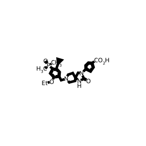 CCOc1cc(P(C)(C)=O)c(C2CC2)cc1CN1CCC2(CC1)CN(c1ccc(C(=O)O)cc1)C(=O)N2